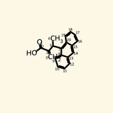 C=C(C(=O)O)C(C)c1c2ccccc2cc2ccccc12